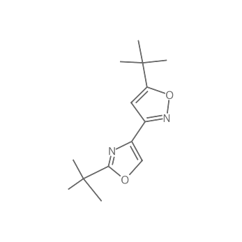 CC(C)(C)c1cc(-c2coc(C(C)(C)C)n2)no1